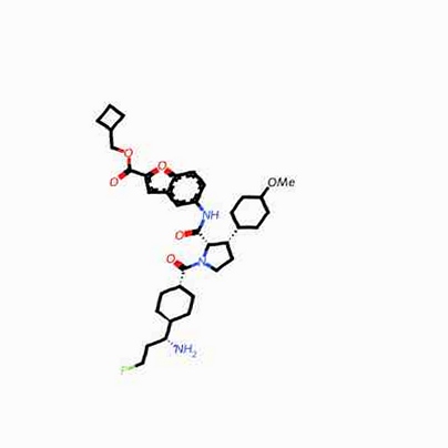 COC1CCC([C@@H]2CCN(C(=O)[C@H]3CC[C@H]([C@H](N)CCF)CC3)[C@@H]2C(=O)Nc2ccc3oc(C(=O)OCC4CCC4)cc3c2)CC1